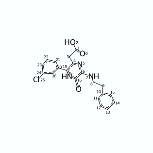 O=C(O)Cc1nc(NCCc2ccccc2)c(=O)[nH]c1-c1cccc(Cl)c1